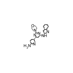 Nc1ccc(-c2cc(Nc3cnc4ccccc4c3)nc(N3CCOCC3)n2)cn1